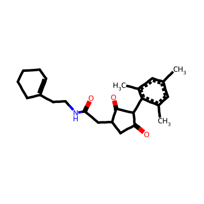 Cc1cc(C)c(C2C(=O)CC(CC(=O)NCCC3=CCCCC3)C2=O)c(C)c1